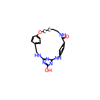 O=C1NCCCCOc2ccc(cc2)CNc2nc(O)nc(n2)Nc2ccc1cc2